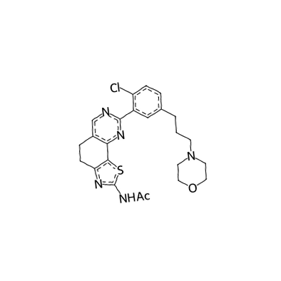 CC(=O)Nc1nc2c(s1)-c1nc(-c3cc(CCCN4CCOCC4)ccc3Cl)ncc1CC2